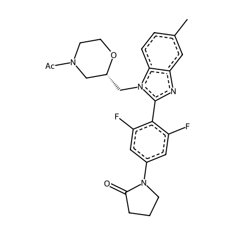 CC(=O)N1CCO[C@H](Cn2c(-c3c(F)cc(N4CCCC4=O)cc3F)nc3cc(C)ccc32)C1